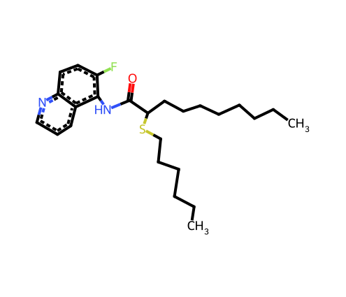 CCCCCCCCC(SCCCCCC)C(=O)Nc1c(F)ccc2ncccc12